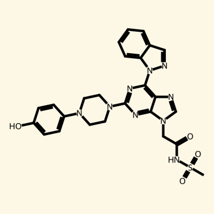 CS(=O)(=O)NC(=O)Cn1cnc2c(-n3ncc4ccccc43)nc(N3CCN(c4ccc(O)cc4)CC3)nc21